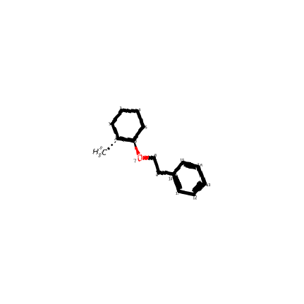 C[C@@H]1CCCC[C@H]1OCCc1ccccc1